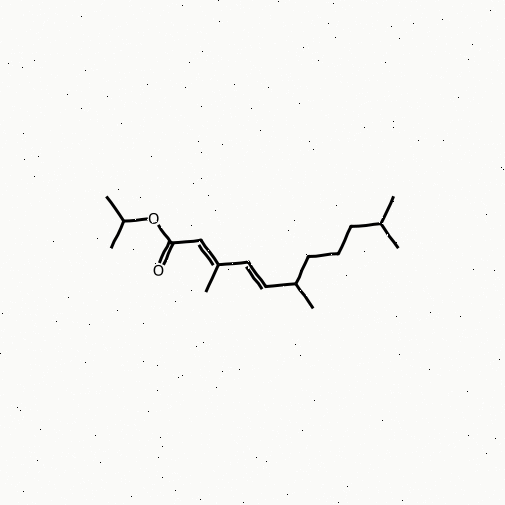 CC(/C=C/C(C)CCCC(C)C)=C\C(=O)OC(C)C